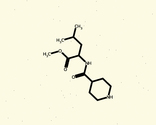 COC(=O)C(CC(C)C)NC(=O)C1CCNCC1